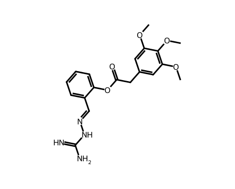 COc1cc(CC(=O)Oc2ccccc2C=NNC(=N)N)cc(OC)c1OC